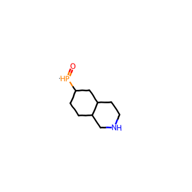 O=[PH]C1CCC2CNCCC2C1